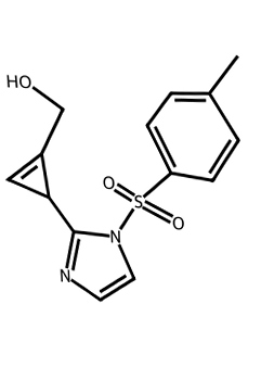 Cc1ccc(S(=O)(=O)n2ccnc2C2C=C2CO)cc1